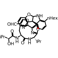 CCCCCCc1cccc2c1NC1Oc3ccc4cc3C21c1oc(nc1-c1nc(C=O)co1)[C@H](C(C)C)NC(=O)[C@@H](NC(=O)[C@@H](O)C(C)C)C4